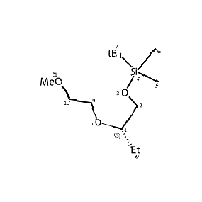 CC[C@@H](CO[Si](C)(C)C(C)(C)C)OCCOC